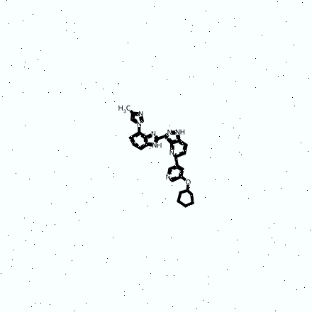 Cc1cn(-c2cccc3[nH]c(-c4n[nH]c5ccc(-c6cncc(OC7CCCCC7)c6)nc45)nc23)cn1